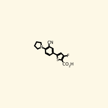 N#Cc1cc(-c2cc(F)c(C(=O)O)s2)ccc1N1CCCC1